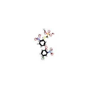 COP(=O)(CSc1cc(Oc2ccc(Cl)cc2[N+](=O)[O-])ccc1[N+](=O)[O-])OC